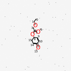 CCOC[C@@H](OC)OC1C=CC(OC)=CC1